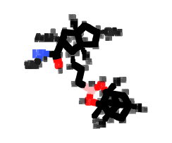 CC(=O)N[C@@]1(C(=O)NC(C)(C)C)C[C@H]2C[C@H](OC(C)=O)C[C@H]2[C@@H]1CCCB1O[C@@H]2C[C@@H]3C[C@@H](C3(C)C)[C@]2(C)O1